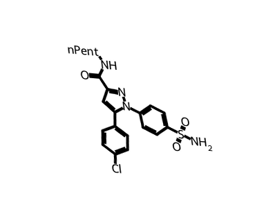 CCCCCNC(=O)c1cc(-c2ccc(Cl)cc2)n(-c2ccc(S(N)(=O)=O)cc2)n1